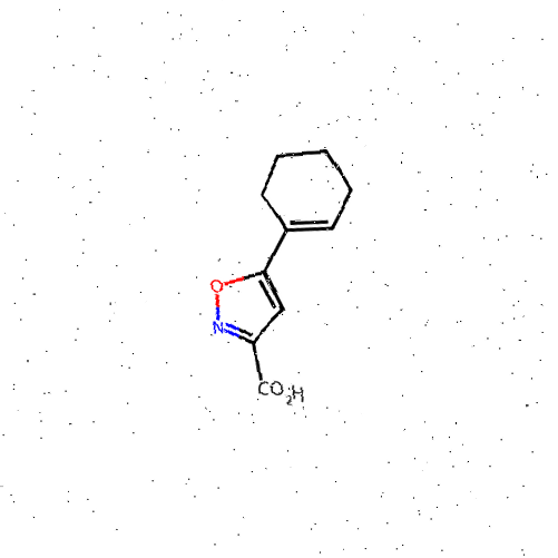 O=C(O)c1cc(C2=CCCCC2)on1